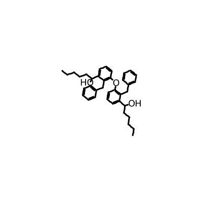 CCCCCC(O)c1cccc(Oc2cccc(C(O)CCCCC)c2Cc2ccccc2)c1Cc1ccccc1